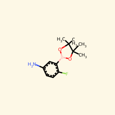 CC1(C)OB(c2cc(N)ccc2F)OC1(C)C